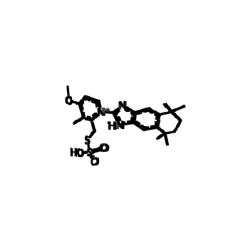 COc1cc[n+](-c2nc3cc4c(cc3[nH]2)C(C)(C)CCC4(C)C)c(CSS(=O)(=O)O)c1C